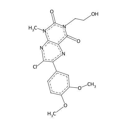 COc1ccc(-c2nc3c(=O)n(CCO)c(=O)n(C)c3nc2Cl)cc1OC